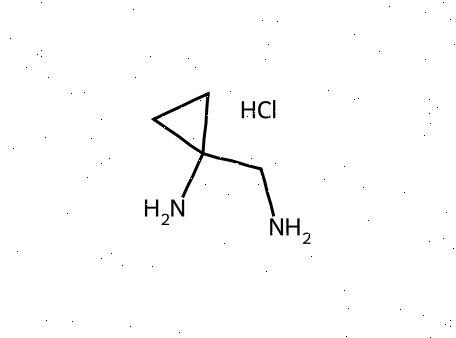 Cl.NCC1(N)CC1